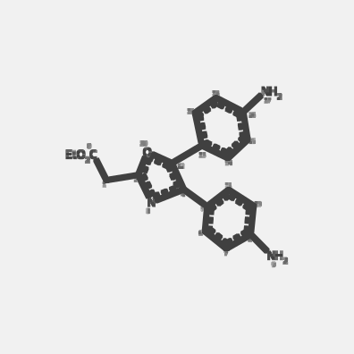 CCOC(=O)Cc1nc(-c2ccc(N)cc2)c(-c2ccc(N)cc2)o1